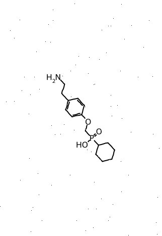 NCCc1ccc(OCP(=O)(O)C2CCCCC2)cc1